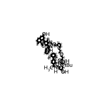 C#Cc1c(F)ccc2cc(O)cc(-c3ncc4c(N5CC6CCC(C5)N6)nc(OC[C@@H]5CCCN5CCCOCCC(=O)N[C@H](C(=O)N5C[C@H](O)C[C@H]5C(=O)N[C@@H](C)c5ccc(-c6c(F)cccc6F)cc5)C(C)(C)C)nc4c3F)c12